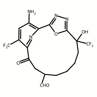 Nc1cc(C(F)(F)F)c2nc1-c1nnc(o1)C(O)(C(F)(F)F)CCCCC(C=O)CC2=O